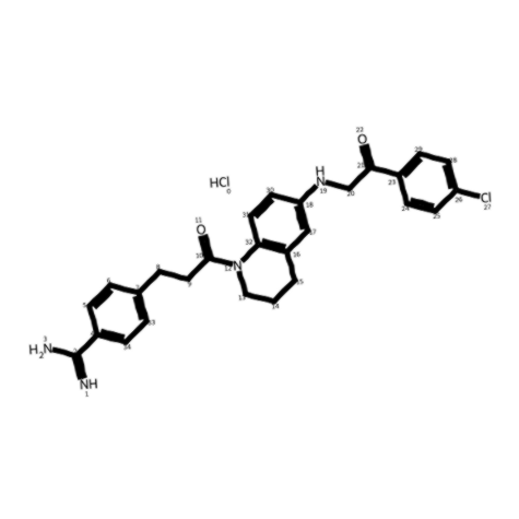 Cl.N=C(N)c1ccc(CCC(=O)N2CCCc3cc(NCC(=O)c4ccc(Cl)cc4)ccc32)cc1